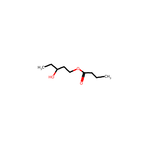 CCCC(=O)OCCC(O)CC